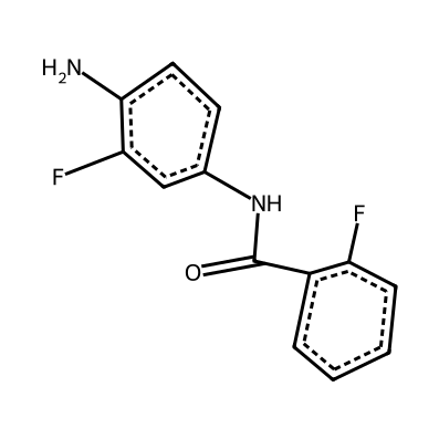 Nc1ccc(NC(=O)c2ccccc2F)cc1F